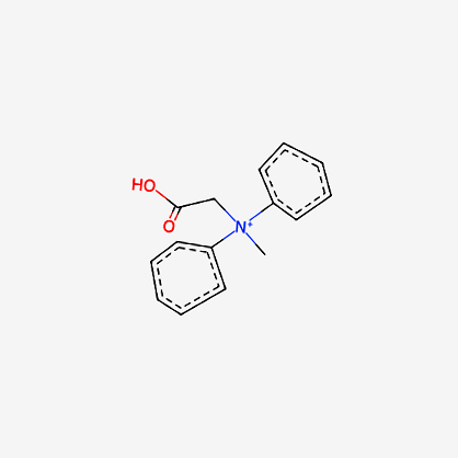 C[N+](CC(=O)O)(c1ccccc1)c1ccccc1